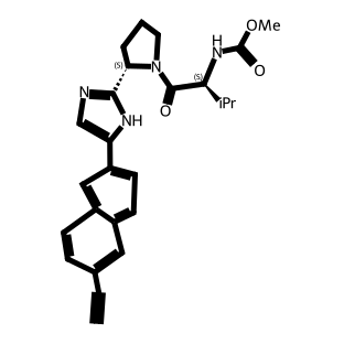 C#Cc1ccc2cc(-c3cnc([C@@H]4CCCN4C(=O)[C@@H](NC(=O)OC)C(C)C)[nH]3)ccc2c1